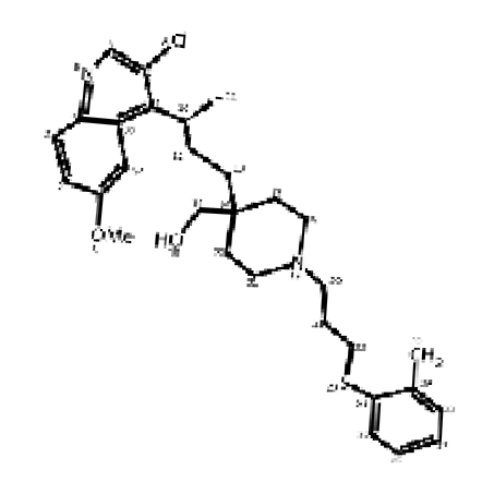 COc1ccc2ncc(Cl)c([C@@H](F)CCC3(CO)CCN(CCCSc4ccccc4C)CC3)c2c1